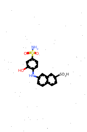 NS(=O)(=O)c1ccc(Nc2ccc3ccc(S(=O)(=O)O)cc3c2)c(O)c1